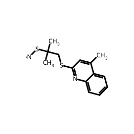 Cc1cc(SCC(C)(C)S[N])nc2ccccc12